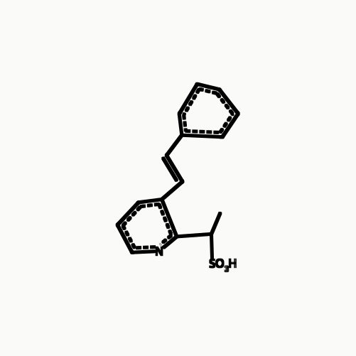 CC(c1ncccc1C=Cc1ccccc1)S(=O)(=O)O